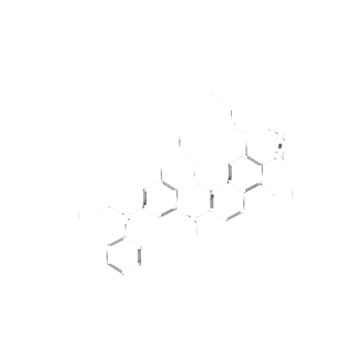 [2H]/N=N\c1c(SOOO)cc2c(SOOO)c(Nc3cc(C)cc(N(CC)c4ccccc4)c3)ccc2c1O